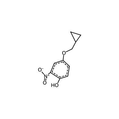 O=[N+]([O-])c1cc(OCC2CC2)ccc1O